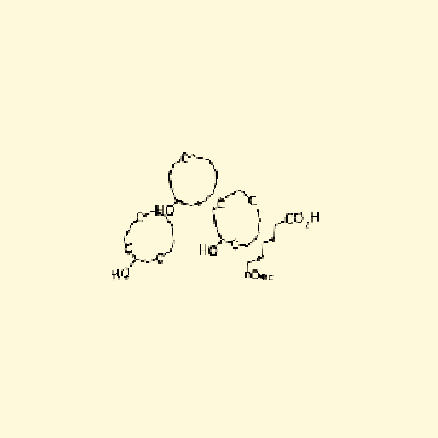 CCCCCCCCCCCCCCCC(=O)O.OC1CCCCCCCCCCC1.OC1CCCCCCCCCCC1.OC1CCCCCCCCCCC1